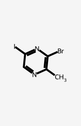 Cc1ncc(I)nc1Br